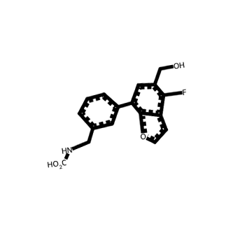 O=C(O)NCc1cccc(-c2cc(CO)c(F)c3ccoc23)c1